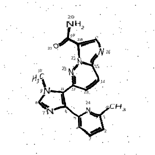 Cc1cccc(-c2ncn(C)c2-c2ccc3ncc(C(N)=O)n3n2)n1